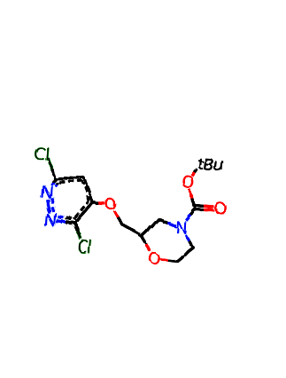 CC(C)(C)OC(=O)N1CCOC(COc2cc(Cl)nnc2Cl)C1